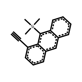 C#Cc1cccc2cc3ccccc3c([Si](C)(C)C)c12